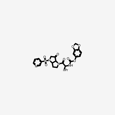 CCCC(NC(=O)Oc1ccc2c(c1)OCO2)C(=O)N1CCC2C1C(=O)CN2S(=O)(=O)c1cccnc1